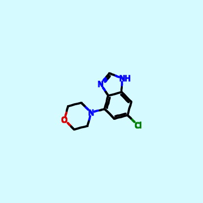 Clc1cc(N2CCOCC2)c2nc[nH]c2c1